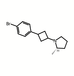 C[C@H]1CCCN1C1CC(c2ccc(Br)cc2)C1